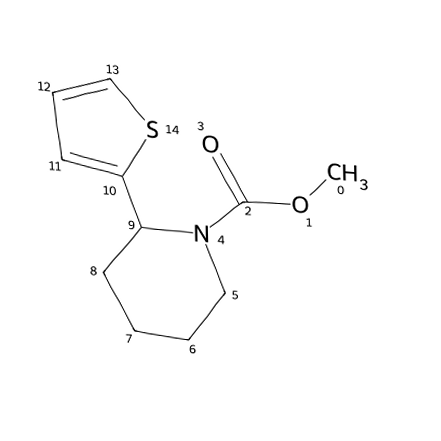 COC(=O)N1CCCCC1c1cccs1